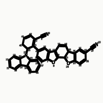 N#CC1=C(c2ccc3oc4c(c3c2)C=CC2c3cc(C#N)ccc3OC42)C(n2c3ccccc3c3ccccc32)CC=C1